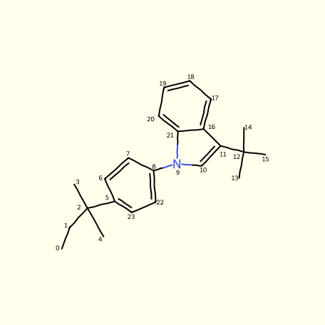 CCC(C)(C)c1ccc(-n2cc(C(C)(C)C)c3ccccc32)cc1